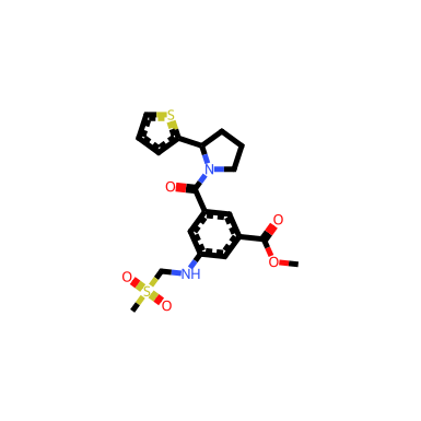 COC(=O)c1cc(NCS(C)(=O)=O)cc(C(=O)N2CCCC2c2cccs2)c1